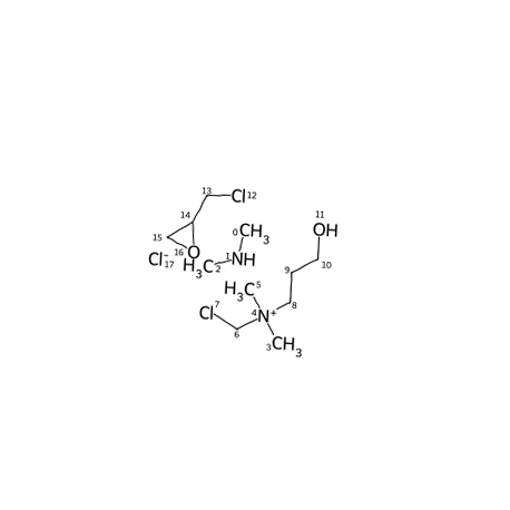 CNC.C[N+](C)(CCl)CCCO.ClCC1CO1.[Cl-]